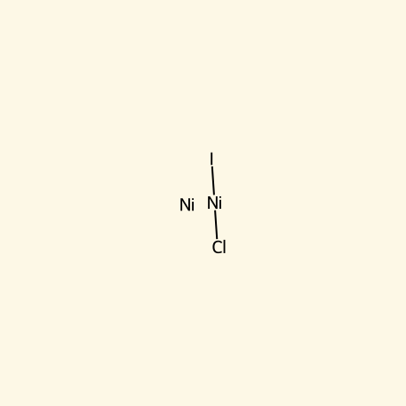 [Cl][Ni][I].[Ni]